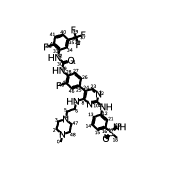 CN1CCN(CCNc2nc(Nc3cccc(S(C)(=N)=O)c3)ncc2-c2ccc(NC(=O)Nc3cc(C(F)(F)F)ccc3F)c(F)c2)CC1